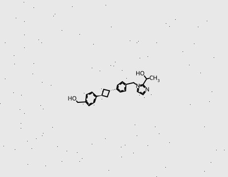 CC(O)c1nccn1Cc1ccc([C@H]2C[C@H](c3ccc(CO)cc3)C2)cc1